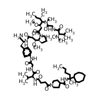 CCCCC(C)(NC(=O)C1CCN(C(=O)CCC(=O)NC(C(=O)NCC(=O)Nc2ccc(C[C@@H](CN)NC(=O)[C@H](C)[C@@H](OC)[C@@H]3CCCN3C(=O)C[C@@H](OC)C([C@@H](C)CC)N(C)C(=O)CNC(=O)C(C(C)C)N(C)C)cc2)C(C)C)CC1)C1CCCCCCC1